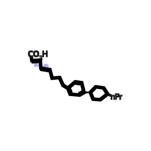 CCC[C@H]1CC[C@H](c2ccc(CCC/C=C/C=C/C(=O)O)cc2)CC1